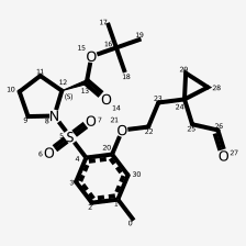 Cc1ccc(S(=O)(=O)N2CCC[C@H]2C(=O)OC(C)(C)C)c(OCCC2(CC=O)CC2)c1